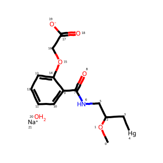 COC([CH2][Hg])CNC(=O)c1ccccc1OCC(=O)[O-].O.[Na+]